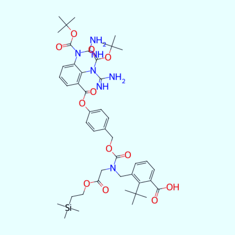 CC(C)(C)OC(=O)N(C(=N)N)c1cccc(C(=O)Oc2ccc(COC(=O)N(CC(=O)OCC[Si](C)(C)C)Cc3cccc(C(=O)O)c3C(C)(C)C)cc2)c1N(C(=N)N)C(=O)OC(C)(C)C